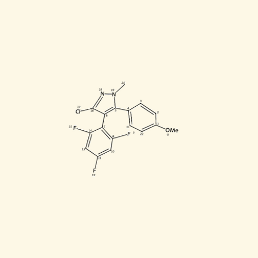 COc1ccc(-c2c(-c3c(F)cc(F)cc3F)c(Cl)nn2C)cc1